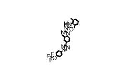 Cc1cccc(C)c1NC(=O)Nc1ncc2cc(-c3ncn(-c4ccc(OC(F)(F)F)cc4)n3)ccc2n1